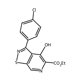 CCOC(=O)c1ncc2snc(-c3ccc(Cl)cc3)c2c1O